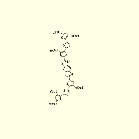 CCCCCCCCc1cc(C=O)sc1-c1ccc(-c2sc(-c3nc4cc5nc(-c6cc(CCCCCCCC)c(-c7ccc(-c8sc(OC)cc8CCCCCCCC)s7)s6)sc5cc4s3)cc2CCCCCCCC)s1